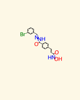 O=C(/C=C/c1ccc(C(=O)N/N=C/c2cccc(Br)c2)cc1)NO